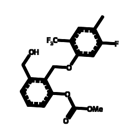 COC(=O)Oc1cccc(CO)c1COc1cc(F)c(C)cc1C(F)(F)F